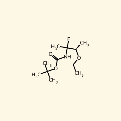 CCO[C@H](C)C(C)(F)NC(=O)OC(C)(C)C